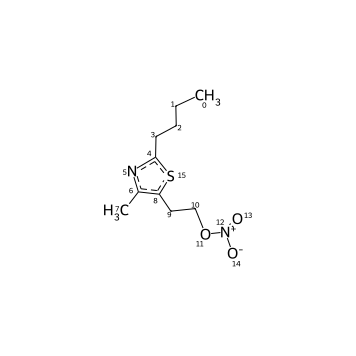 CCCCc1nc(C)c(CCO[N+](=O)[O-])s1